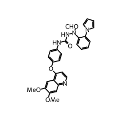 COc1cc2nccc(Oc3ccc(NC(=O)NN(C=O)c4ccccc4-n4cccc4)cc3)c2cc1OC